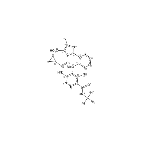 [2H]C([2H])([2H])NC(=O)c1nnc(NC(=O)C2CC2)cc1Nc1cccc(-c2cc(C(=O)O)n(C)n2)c1OC